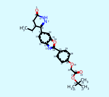 CCC1CC(=O)NN=C1c1ccc2nc(-c3ccc(OCC(=O)OC(C)(C)C)cc3)oc2c1